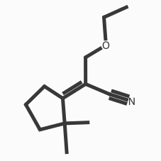 CCOC/C(C#N)=C1\CCCC1(C)C